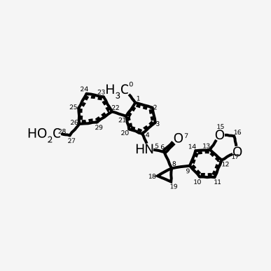 Cc1ccc(NC(=O)C2(c3ccc4c(c3)OCO4)CC2)cc1-c1cccc(CC(=O)O)c1